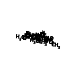 CCOC(=O)c1nc(-c2cccc(-c3nc4cc(-c5cncc(OC)c5)ccc4n3C(C)(C)C)c2)no1